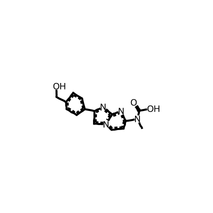 CN(C(=O)O)c1ccn2cc(-c3ccc(CO)cc3)nc2n1